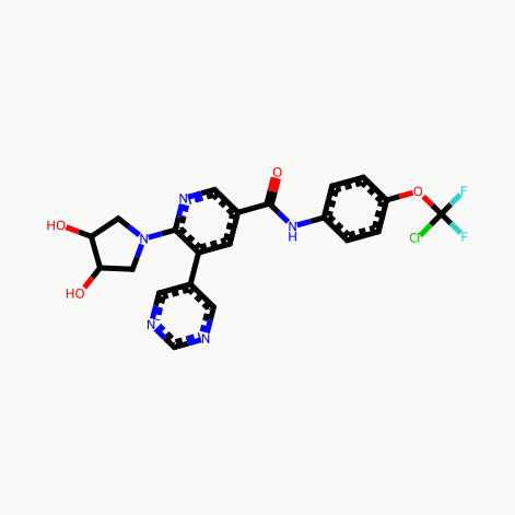 O=C(Nc1ccc(OC(F)(F)Cl)cc1)c1cnc(N2CC(O)C(O)C2)c(-c2cncnc2)c1